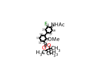 COc1c(B2OC(C)(C)C(C)(C)O2)cccc1-c1ccc(NC(C)=O)c(F)c1